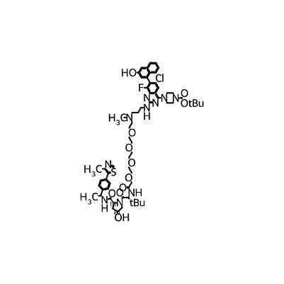 Cc1ncsc1-c1ccc(C(C)NC(=O)[C@@H]2C[C@@H](O)CN2C(=O)C(NC(=O)COCCOCCOCCOCCN(C)CCCNc2nc(N3CCN(C(=O)OC(C)(C)C)CC3)c3cc(Cl)c(-c4cc(O)cc5ccccc45)c(F)c3n2)C(C)(C)C)cc1